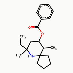 CCC1(C)CC(OC(=O)c2ccccc2)C(C)C2(CCCC2)N1